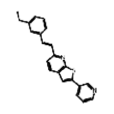 CCc1cccc(/C=C/c2ccc3cc(-c4cccnc4)sc3n2)c1